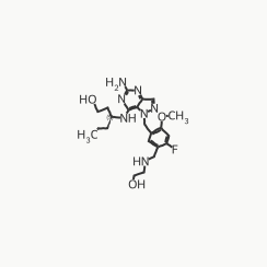 CCC[C@@H](CCO)Nc1nc(N)nc2cnn(Cc3cc(CNCCO)c(F)cc3OC)c12